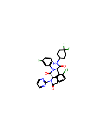 O=C(NC1CCC(F)(F)CC1)[C@@H](c1ccccc1Cl)N(C(=O)[C@@H]1CCC(=O)N1c1ncccn1)c1cccc(F)c1